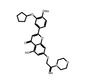 COc1ccc(-c2cc(=O)c3c(O)cc(OCC(=N)N4CCOCC4)cc3o2)cc1OC1CCCC1